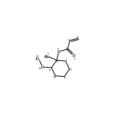 C=CC(=O)OC1(C(C)CC)CCCCC1OCC